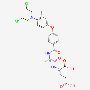 Cc1cc(Oc2ccc(C(=O)N[C@@H](C)C(=O)N[C@@H](CCC(=O)O)C(=O)O)cc2)ccc1N(CCCl)CCCl